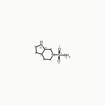 NS(=O)(=O)N1CCC2CCNC2C1